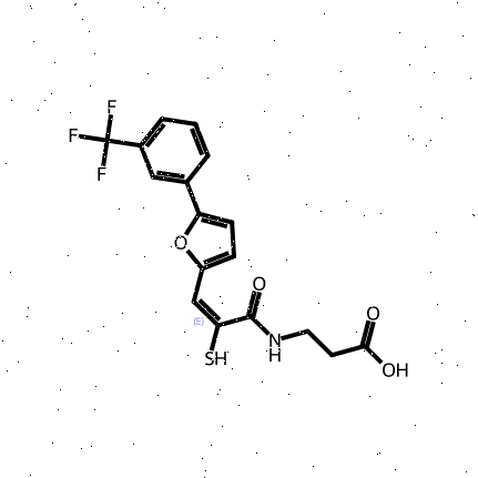 O=C(O)CCNC(=O)/C(S)=C\c1ccc(-c2cccc(C(F)(F)F)c2)o1